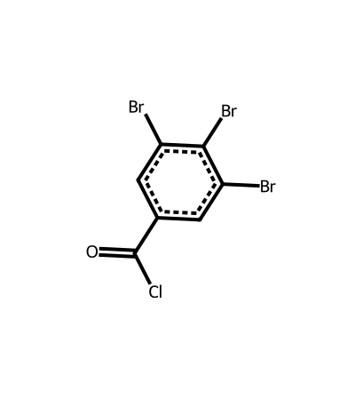 O=C(Cl)c1cc(Br)c(Br)c(Br)c1